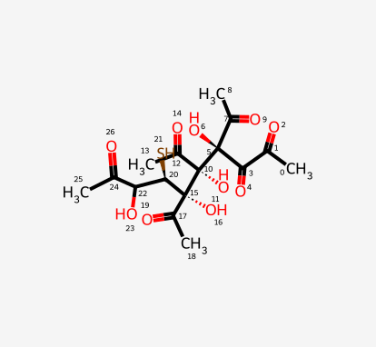 CC(=O)C(=O)[C@@](O)(C(C)=O)[C@](O)(C(C)=O)[C@@](O)(C(C)=O)[C@H](S)C(O)C(C)=O